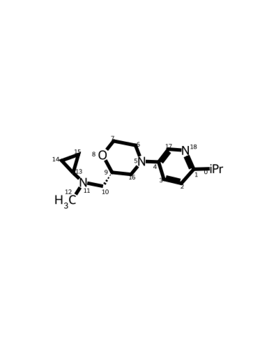 CC(C)c1ccc(N2CCO[C@@H](CN(C)C3CC3)C2)cn1